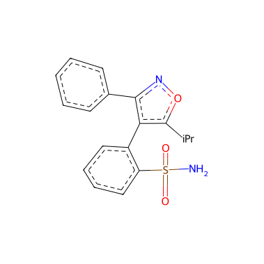 CC(C)c1onc(-c2ccccc2)c1-c1ccccc1S(N)(=O)=O